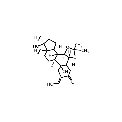 CC1(C)O[C@H]2[C@H](O1)[C@H]1CC(=O)C(=CO)C[C@]1(C)[C@H]1CC[C@@]3(C)[C@@H](CC[C@]3(C)O)[C@H]21